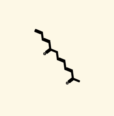 C=CC=CC(=O)CC=CC=CC(C)=O